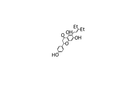 CCC(=CCc1c(O)cc2c(c1O)C(=O)CC(c1ccc(O)cc1)O2)CC